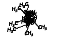 CCCCCCCCCCCCCCCC(=O)OC(CCCCCCCCCCC)CC(=O)NC1C(OP(=O)(O)O)OC(CO[C@@H]2OC(CO)[C@@H](OP(=O)(O)O)[C@H](OC(=O)CC(CCCCCCCCCCC)OC(=O)CCCCCCCCCCC)C2NC(=O)CC(O)CCCCCCCCCCC)[C@@H](O)[C@@H]1OC(=O)CC(O)CCCCCCCCCCC